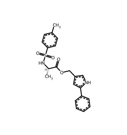 Cc1ccc(S(=O)(=O)N[C@@H](C)C(=O)OCc2c[nH]c(-c3ccccc3)c2)cc1